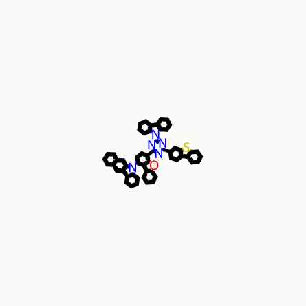 c1ccc2cc3c(cc2c1)c1ccccc1n3-c1ccc(-c2nc(-c3ccc4c(c3)sc3ccccc34)nc(-n3c4ccccc4c4ccccc43)n2)c2oc3ccccc3c12